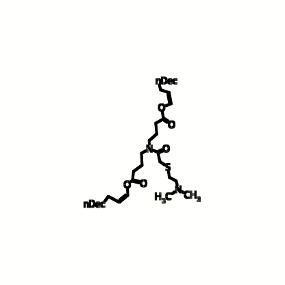 CCCCCCCCCCC/C=C\OC(=O)CCCN(CCCC(=O)O/C=C\CCCCCCCCCCC)C(=O)CSCCN(C)C